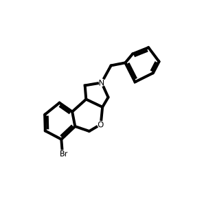 Brc1cccc2c1COC1CN(Cc3ccccc3)CC21